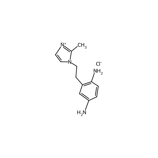 CC1=[N+]C=CN1CCc1cc(N)ccc1N.[Cl-]